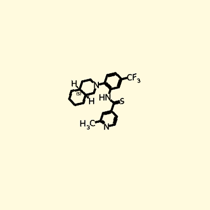 Cc1cc(C(=S)Nc2cc(C(F)(F)F)ccc2N2CC[C@@H]3CCCC[C@H]3C2)ccn1